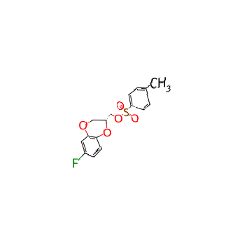 Cc1ccc(S(=O)(=O)OC[C@H]2COc3cc(F)ccc3O2)cc1